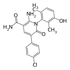 Cc1ccc(O)c(C)c1-n1c(N)c(C(N)=O)cc(-c2ccc(Cl)cc2)c1=O